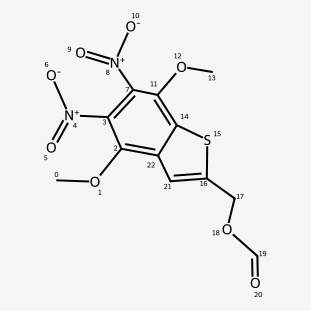 COc1c([N+](=O)[O-])c([N+](=O)[O-])c(OC)c2sc(COC=O)cc12